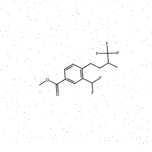 COC(=O)c1ccc(CCC(C)C(F)(F)F)c(C(F)F)c1